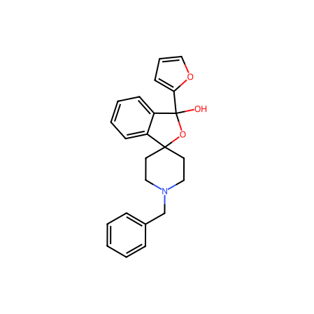 OC1(c2ccco2)OC2(CCN(Cc3ccccc3)CC2)c2ccccc21